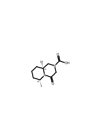 C[C@@H]1CCC[C@H]2CN(C(=O)O)CC(=O)N21